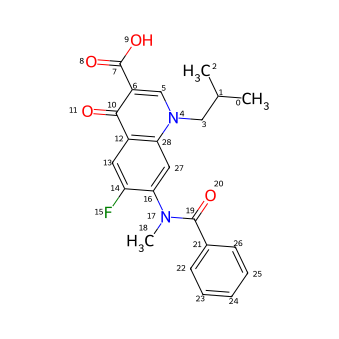 CC(C)Cn1cc(C(=O)O)c(=O)c2cc(F)c(N(C)C(=O)c3ccccc3)cc21